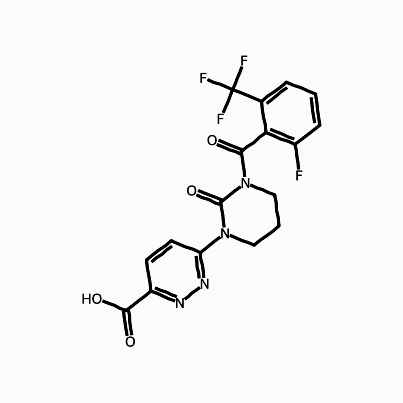 O=C(O)c1ccc(N2CCCN(C(=O)c3c(F)cccc3C(F)(F)F)C2=O)nn1